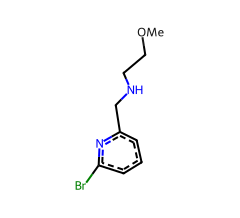 COCCNCc1cccc(Br)n1